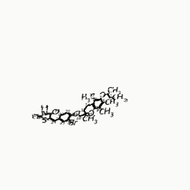 CCC(C)Oc1c(C)c(C)c2c(c1C)CCC(C)(COc1ccc(/C=C3/SC(=O)NC3=O)cc1Br)O2